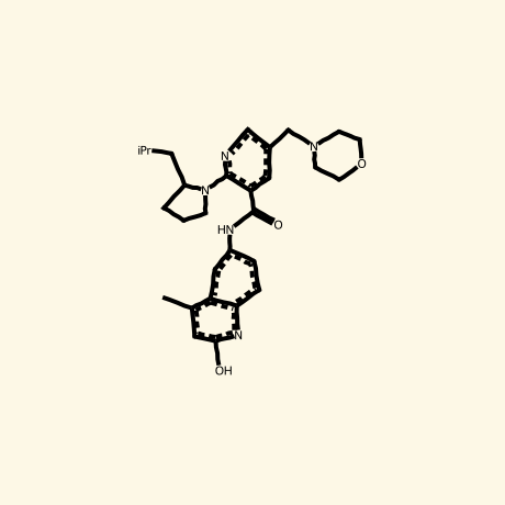 Cc1cc(O)nc2ccc(NC(=O)c3cc(CN4CCOCC4)cnc3N3CCCC3CC(C)C)cc12